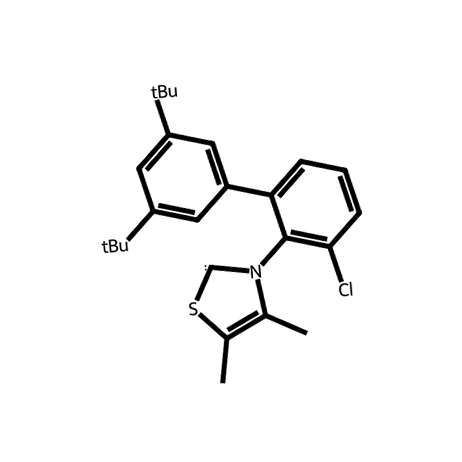 CC1=C(C)N(c2c(Cl)cccc2-c2cc(C(C)(C)C)cc(C(C)(C)C)c2)[C]S1